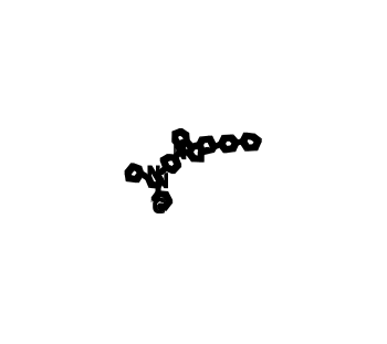 c1ccc(-c2ccc(-c3ccc4c(ccc5c4c4ccccc4n5-c4ccc(-c5nc(-c6ccccc6)cc(-c6ccccc6)n5)cc4)c3)cc2)cc1